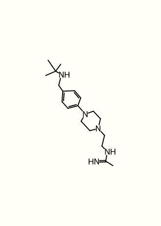 CC(=N)NCCN1CCN(c2ccc(CNC(C)(C)C)cc2)CC1